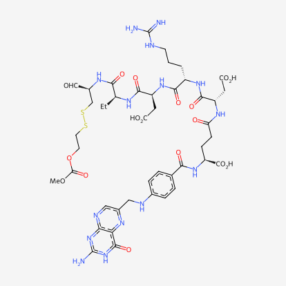 CC[C@H](NC(=O)[C@H](CC(=O)O)NC(=O)[C@H](CCCNC(=N)N)NC(=O)[C@H](CC(=O)O)NC(=O)CC[C@H](NC(=O)c1ccc(NCc2cnc3nc(N)[nH]c(=O)c3n2)cc1)C(=O)O)C(=O)N[C@H](C=O)CSSCCOC(=O)OC